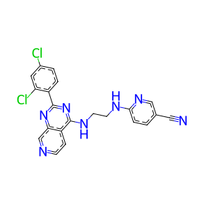 N#Cc1ccc(NCCNc2nc(-c3ccc(Cl)cc3Cl)nc3cnccc23)nc1